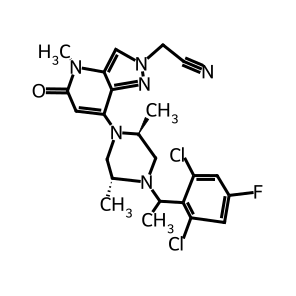 CC(c1c(Cl)cc(F)cc1Cl)N1C[C@H](C)N(c2cc(=O)n(C)c3cn(CC#N)nc23)C[C@H]1C